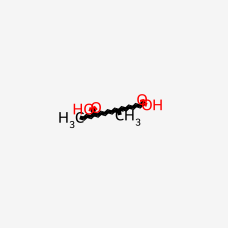 CCCCC(CCCCC/C=C(\C)CCCCCCC(=O)O)C(=O)O